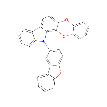 c1ccc2c(c1)Oc1ccc3c4ccccc4n(-c4ccc5oc6ccccc6c5c4)c3c1O2